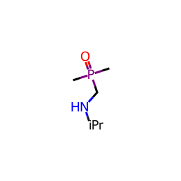 CC(C)NCP(C)(C)=O